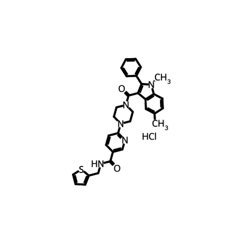 Cc1ccc2c(c1)c(C(=O)N1CCN(c3ccc(C(=O)NCc4cccs4)cn3)CC1)c(-c1ccccc1)n2C.Cl